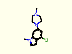 CN1CCN(c2cc(Cl)c3ccn(C)c3c2)CC1